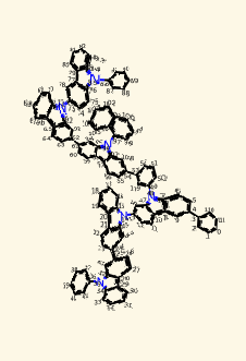 c1ccc(-c2ccc3c(c2)c2ccc(-n4c5ccccc5c5ccc(-c6ccc7c8ccccc8n(-c8ccccc8)c7c6)cc54)cc2n3-c2cccc(-c3ccc4c5ccc(-c6ccc7c8ccccc8n(-c8ccc9c(c8)c8ccccc8n9-c8ccccc8)c7c6)cc5n(-c5cccc6ccccc56)c4c3)c2)cc1